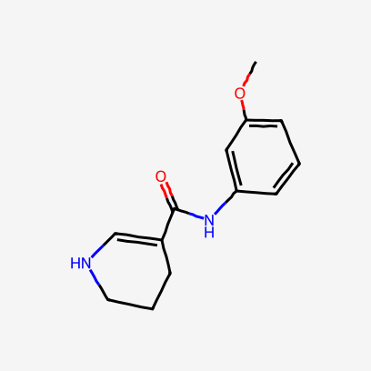 COc1cccc(NC(=O)C2=CNCCC2)c1